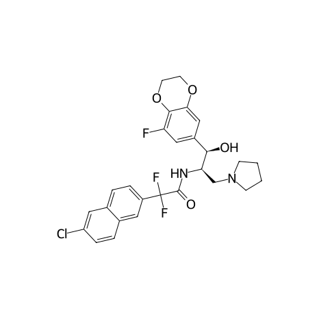 O=C(N[C@H](CN1CCCC1)[C@H](O)c1cc(F)c2c(c1)OCCO2)C(F)(F)c1ccc2cc(Cl)ccc2c1